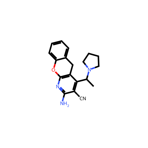 CC(c1c(C#N)c(N)nc2c1Cc1ccccc1O2)N1CCCC1